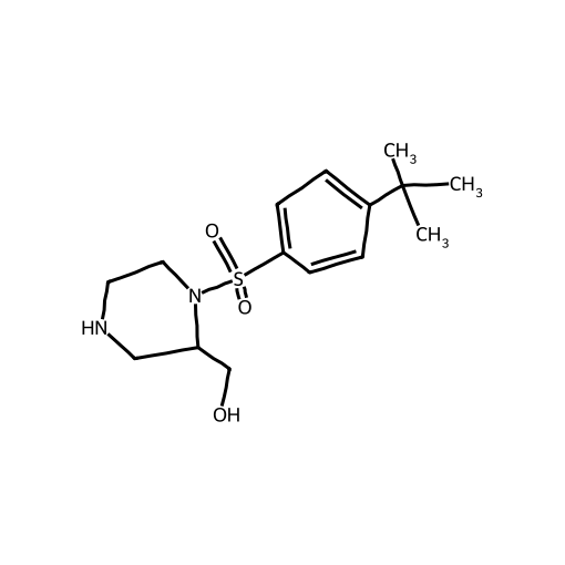 CC(C)(C)c1ccc(S(=O)(=O)N2CCNCC2CO)cc1